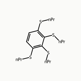 CCCSc1ccc(SCCC)c(SCCC)c1SCCC